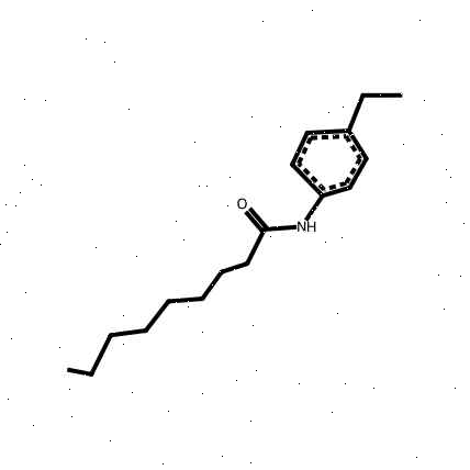 CCCCCCCCC(=O)Nc1ccc(CC)cc1